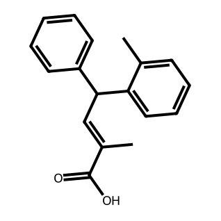 CC(=CC(c1ccccc1)c1ccccc1C)C(=O)O